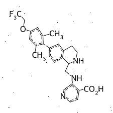 Cc1cc(OCC(F)(F)F)cc(C)c1-c1ccc2c(c1)CCNC2CNc1cnccc1C(=O)O